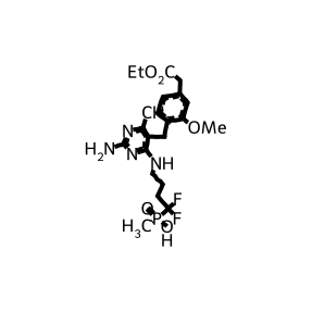 CCOC(=O)Cc1ccc(Cc2c(C)nc(N)nc2NCCCC(F)(F)P(C)(=O)O)c(OC)c1